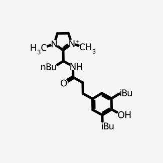 CCCCC(NC(=O)CCc1cc(C(C)CC)c(O)c(C(C)CC)c1)C1=[N+](C)CCN1C